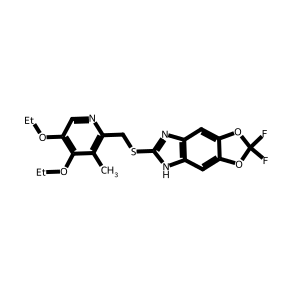 CCOc1cnc(CSc2nc3cc4c(cc3[nH]2)OC(F)(F)O4)c(C)c1OCC